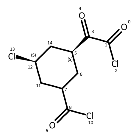 O=C(Cl)C(=O)[C@H]1CC(C(=O)Cl)C[C@@H](Cl)C1